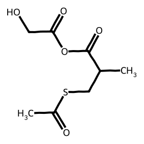 CC(=O)SCC(C)C(=O)OC(=O)CO